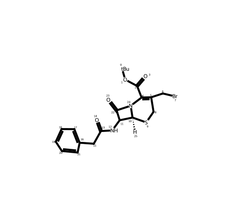 CC(C)(C)OC(=O)C1=C(CBr)CS[C@H]2C(NC(=O)Cc3ccccc3)C(=O)N12